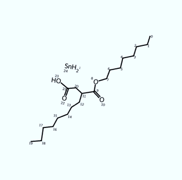 CCCCCCCCOC(=O)C(CCCCCCCC)CC(=O)O.[SnH2]